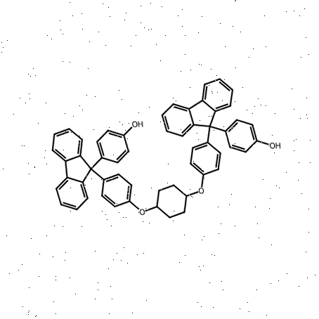 Oc1ccc(C2(c3ccc(OC4CCC(Oc5ccc(C6(c7ccc(O)cc7)c7ccccc7-c7ccccc76)cc5)CC4)cc3)c3ccccc3-c3ccccc32)cc1